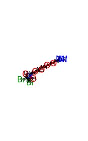 [N-]=[N+]=NCCOCCOCCOCCOCCN1C(=O)C(Br)=C(Br)C1=O